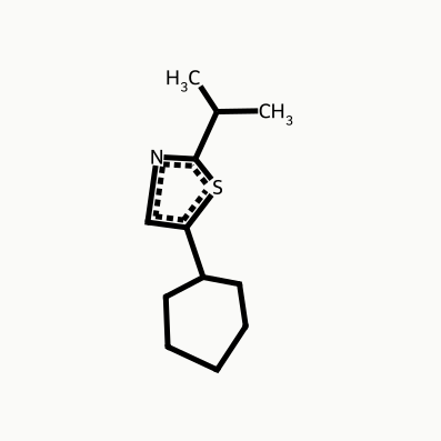 CC(C)c1ncc(C2CCCCC2)s1